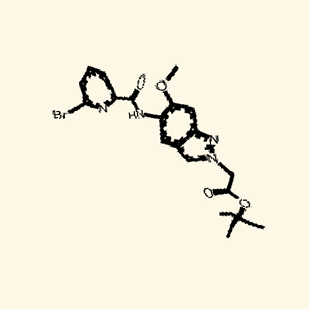 COc1cc2nn(CC(=O)OC(C)(C)C)cc2cc1NC(=O)c1cccc(Br)n1